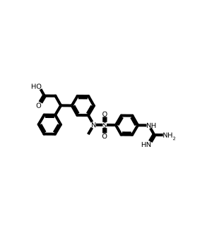 CN(c1cccc(C(CC(=O)O)c2ccccc2)c1)S(=O)(=O)c1ccc(NC(=N)N)cc1